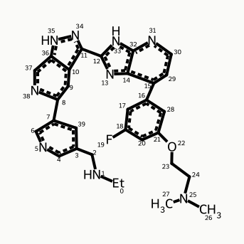 CCNCc1cncc(-c2cc3c(-c4nc5c(-c6cc(F)cc(OCCN(C)C)c6)ccnc5[nH]4)n[nH]c3cn2)c1